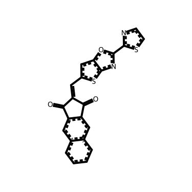 O=C1C(=Cc2cc3oc(-c4nccs4)nc3s2)C(=O)c2cc3ccccc3cc21